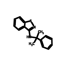 CC(C)(Nc1nsc2ccccc12)c1ccccc1